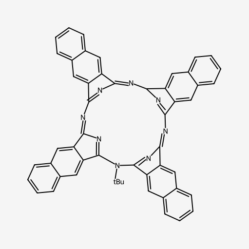 CC(C)(C)N1C2=NC(=NC3=NC(=NC4N=C(N=C5N=C1c1cc6ccccc6cc15)c1cc5ccccc5cc14)c1cc4ccccc4cc13)c1cc3ccccc3cc12